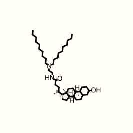 CCCCCCCCCCN(CCCCCCCCCC)CCNC(=O)CC[C@@H](C)[C@H]1CC[C@H]2[C@@H]3CCC4C[C@H](O)CC[C@]4(C)[C@H]3CC[C@]12C